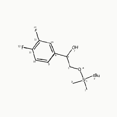 CC(C)(C)[Si](C)(C)OCC(O)c1ccc(F)c(F)c1